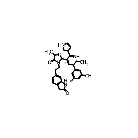 CCC(/C=C(\C(=N)C1C=CNC1)C1OC(C)C(=O)N1CCc1ccc2c(c1)NC(=O)C2)c1cc(C)cc(F)c1